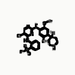 [2H]C1(c2cc(OC(C)C)c(Nc3ncc(Cl)c(Nc4ccccc4S(=O)(=O)C(C)C)n3)cc2C)CCNCC1